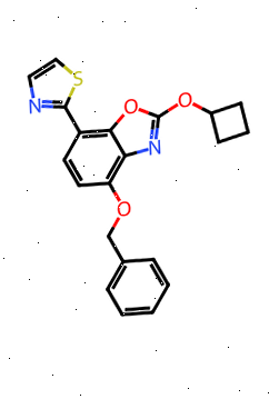 c1ccc(COc2ccc(-c3nccs3)c3oc(OC4CCC4)nc23)cc1